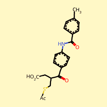 CC(=O)SCC(CC(=O)O)C(=O)c1ccc(NC(=O)c2ccc(C)cc2)cc1